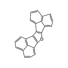 c1cc2cccc3c2c(c1)c1oc2c4cccc5cccc(c54)c2c31